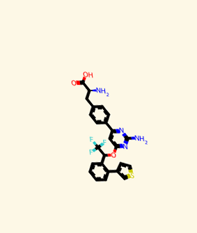 Nc1nc(OC(c2ccccc2-c2ccsc2)C(F)(F)F)cc(-c2ccc(C[C@H](N)C(=O)O)cc2)n1